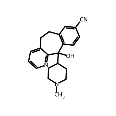 CN1CCC(C2(O)c3ccc(C#N)cc3CCc3cccnc32)CC1